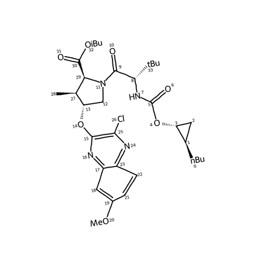 CCCC[C@@H]1C[C@H]1OC(=O)N[C@H](C(=O)N1C[C@H](Oc2nc3cc(OC)ccc3nc2Cl)[C@@H](C)[C@H]1C(=O)OCC(C)C)C(C)(C)C